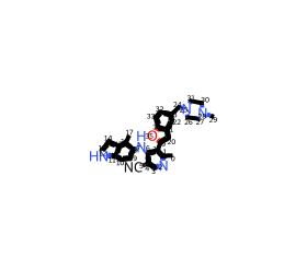 Cc1ncc(C#N)c(Nc2ccc3[nH]ccc3c2C)c1-c1cc2cc(CN3CCN(C)CC3)ccc2o1